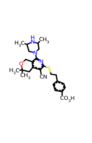 CC1CN(c2nc(SCCc3ccc(C(=O)O)cc3)c(C#N)c3c2COC(C)(C)C3)CC(C)N1